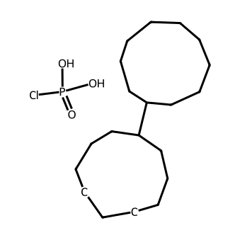 C1CCCCC(C2CCCCCCCCC2)CCCC1.O=P(O)(O)Cl